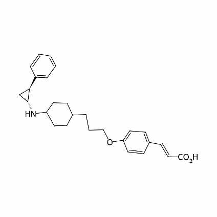 O=C(O)/C=C/c1ccc(OCCCC2CCC(N[C@@H]3C[C@H]3c3ccccc3)CC2)cc1